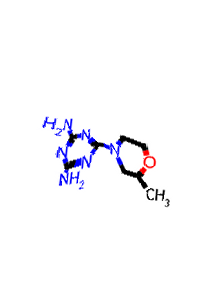 CC1CN(c2nc(N)nc(N)n2)CCO1